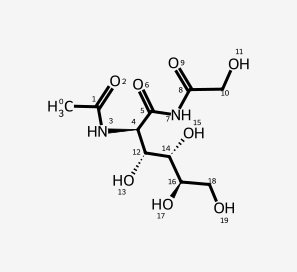 CC(=O)N[C@@H](C(=O)NC(=O)CO)[C@@H](O)[C@H](O)[C@H](O)CO